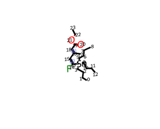 CCC[CH2][Sn]([CH2]CCC)([CH2]CCC)/[C](F)=C\C(C)=C\C(=O)OCC